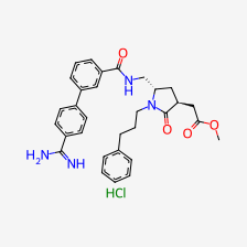 COC(=O)C[C@@H]1C[C@@H](CNC(=O)c2cccc(-c3ccc(C(=N)N)cc3)c2)N(CCCc2ccccc2)C1=O.Cl